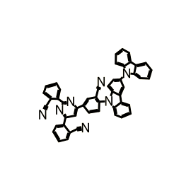 N#Cc1ccccc1-c1cc(-c2ccc(-n3c4ccccc4c4cc(-n5c6ccccc6c6ccccc65)ccc43)c(C#N)c2)nc(-c2ccccc2C#N)n1